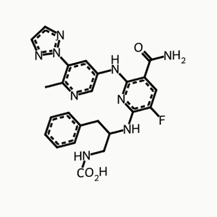 Cc1ncc(Nc2nc(NC(CNC(=O)O)Cc3ccccc3)c(F)cc2C(N)=O)cc1-n1nccn1